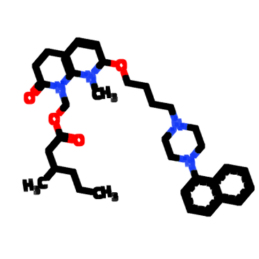 CCCC(C)CC(=O)OCN1C(=O)CCC2=C1N(C)C(OCCCCN1CCN(c3cccc4ccccc34)CC1)C=C2